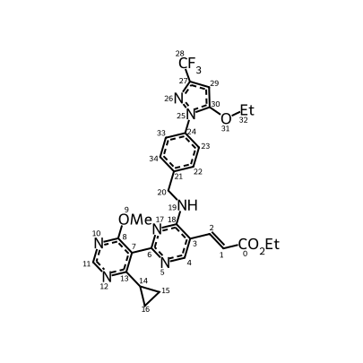 CCOC(=O)/C=C/c1cnc(-c2c(OC)ncnc2C2CC2)nc1NCc1ccc(-n2nc(C(F)(F)F)cc2OCC)cc1